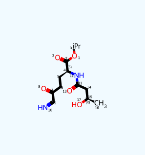 CC(C)OC(=O)[C@H](CCC(=O)C=N)NC(=O)C[C@@H](C)O